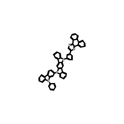 c1ccc(-n2c3ccccc3c3ccc(-n4c5ccccc5c5cc6c(cc54)c4ccccc4n6-c4cccc(-c5cnc6c7ccccc7c7ccccc7c6n5)c4)cc32)cc1